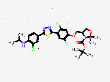 CC(C)Nc1ccc(-c2nnc(-c3cc(F)c(OCC4COC(C)(C)N4C(=O)OC(C)(C)C)cc3Cl)s2)cc1Cl